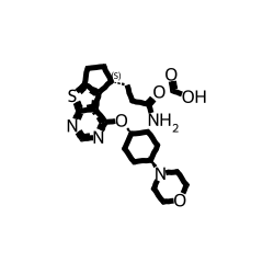 NC(=O)CC[C@H]1CCc2sc3ncnc(O[C@H]4CC[C@H](N5CCOCC5)CC4)c3c21.O=CO